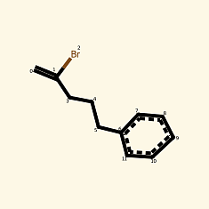 C=C(Br)CCCc1ccccc1